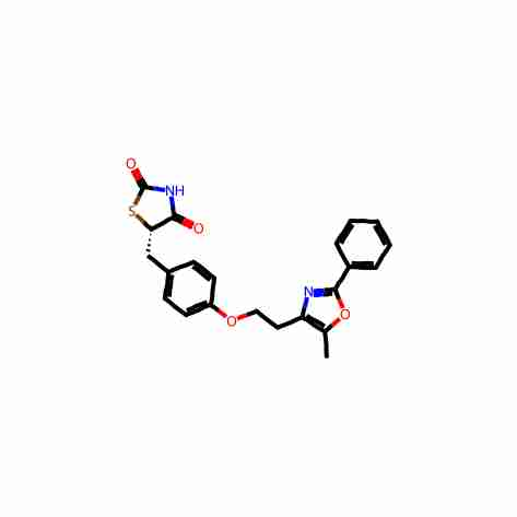 Cc1oc(-c2ccccc2)nc1CCOc1ccc(C[C@@H]2SC(=O)NC2=O)cc1